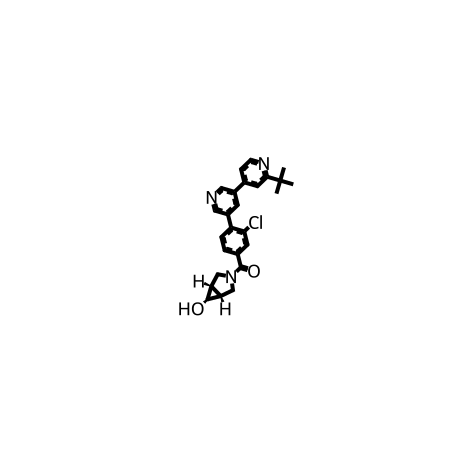 CC(C)(C)c1cc(-c2cncc(-c3ccc(C(=O)N4C[C@@H]5[C@@H](O)[C@@H]5C4)cc3Cl)c2)ccn1